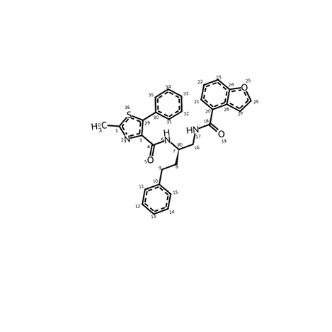 Cc1nc(C(=O)N[C@H](CCc2ccccc2)CNC(=O)c2cccc3occc23)c(-c2ccccc2)s1